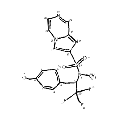 CN(C(c1ccc(Cl)cc1)C(F)(F)F)S(=O)(=O)c1cn2ccncc2n1